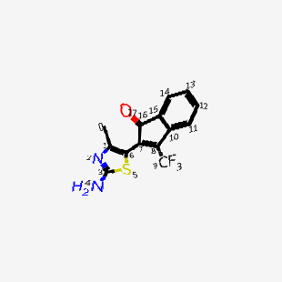 Cc1nc(N)sc1C1=C(C(F)(F)F)c2ccccc2C1=O